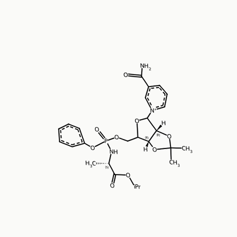 CC(C)OC(=O)[C@H](C)NP(=O)(OCC1OC([n+]2cccc(C(N)=O)c2)[C@@H]2OC(C)(C)O[C@H]12)Oc1ccccc1